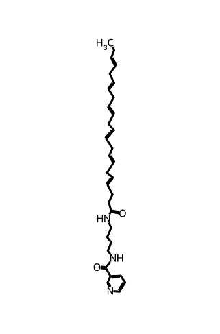 CCC=CCC=CCC=CCC=CCC=CCC=CCCC(=O)NCCCCNC(=O)c1cccnc1